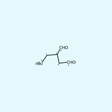 CCCCCC(C=O)C[C]=O